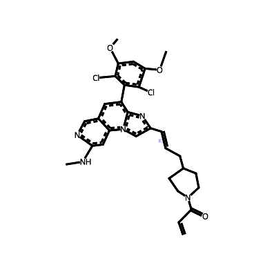 C=CC(=O)N1CCC(C/C=C/c2cn3c(n2)c(-c2c(Cl)c(OC)cc(OC)c2Cl)cc2cnc(NC)cc23)CC1